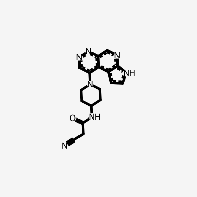 N#CCC(=O)NC1CCN(c2cnnc3cnc4[nH]ccc4c23)CC1